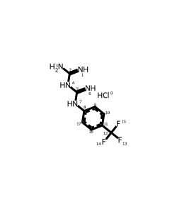 Cl.N=C(N)NC(=N)Nc1ccc(C(F)(F)F)cc1